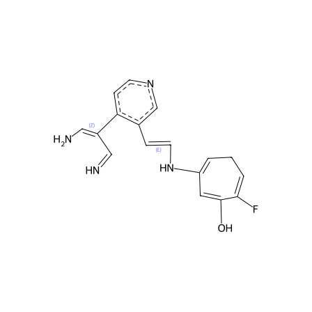 N=C/C(=C\N)c1ccncc1/C=C/NC1=CCC=C(F)C(O)=C1